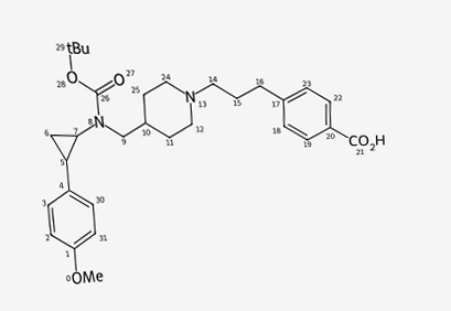 COc1ccc(C2CC2N(CC2CCN(CCCc3ccc(C(=O)O)cc3)CC2)C(=O)OC(C)(C)C)cc1